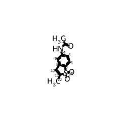 CC(=O)Nc1ccc2c(c1)C=C(C)S2(=O)=O